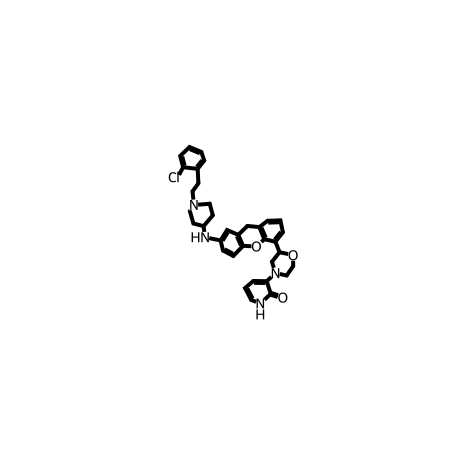 O=c1[nH]cccc1N1CCOC(c2cccc3c2Oc2ccc(NC4CCN(CCc5ccccc5Cl)CC4)cc2C3)C1